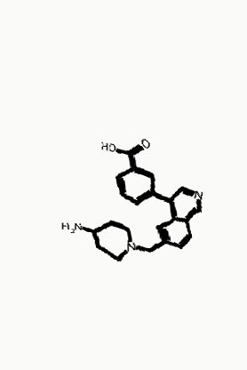 NC1CCN(Cc2ccc3cncc(-c4cccc(C(=O)O)c4)c3c2)CC1